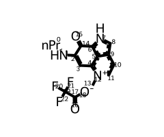 CCCNC1=Cc2c3c([nH]cc3cc[n+]2C)C1=O.O=C([O-])C(F)(F)F